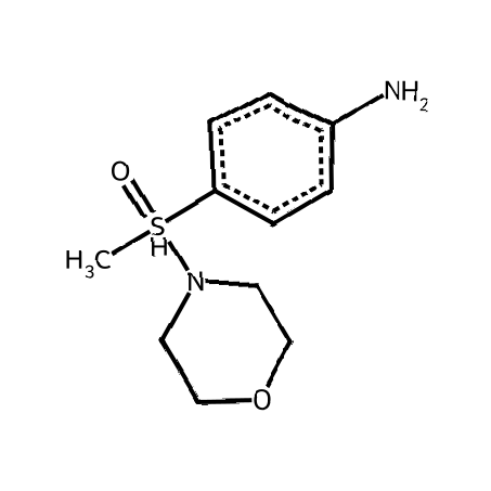 C[SH](=O)(c1ccc(N)cc1)N1CCOCC1